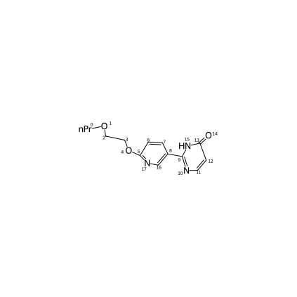 CCCOCCOc1ccc(-c2nccc(=O)[nH]2)cn1